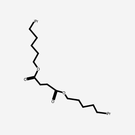 CC(C)CCCCCOC(=O)CCC(=O)OCCCCCC(C)C